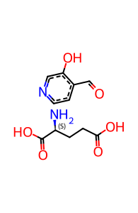 N[C@@H](CCC(=O)O)C(=O)O.O=Cc1ccncc1O